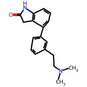 CN(C)CCc1cccc(-c2cccc3c2CC(=O)N3)c1